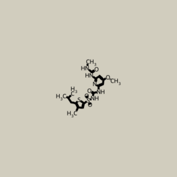 CNC(=O)Nc1cc(OC)cc(NC(=O)NS(=O)(=O)c2cc(C)c(CC(C)C)s2)n1